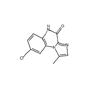 Cc1cnc2c(=O)[nH]c3ccc(Cl)cc3n12